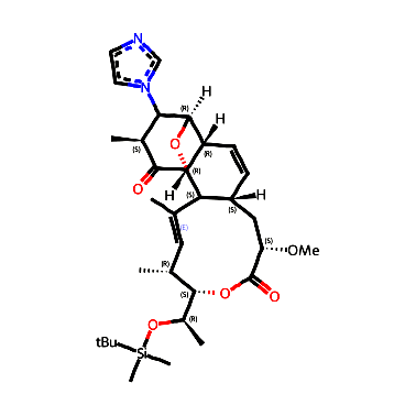 CO[C@H]1C[C@H]2C=C[C@@H]3[C@H]4C(=O)[C@@H](C)C(n5ccnc5)[C@@H]3O[C@@]24/C(C)=C/[C@@H](C)[C@@H]([C@@H](C)O[Si](C)(C)C(C)(C)C)OC1=O